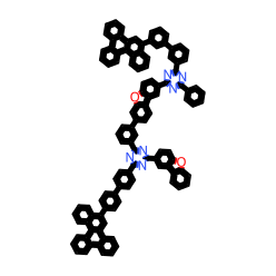 c1ccc(-c2nc(-c3cccc(-c4cccc(-c5cc6c7ccccc7c7ccccc7c6c6ccccc56)c4)c3)nc(-c3ccc4oc5cc(-c6cccc(-c7nc(-c8ccc(-c9ccc(-c%10cc%11c%12ccccc%12c%12ccccc%12c%11c%11ccccc%10%11)cc9)cc8)nc(-c8ccc9oc%10ccccc%10c9c8)n7)c6)ccc5c4c3)n2)cc1